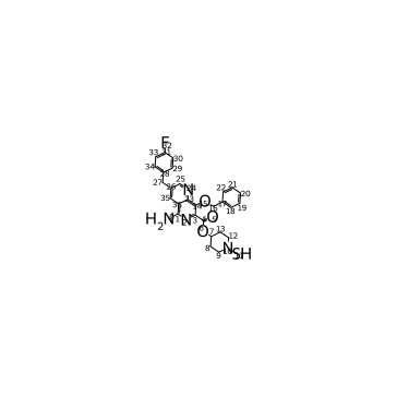 Nc1nc(C(=O)OC2CCN(S)CC2)c(OCc2ccccc2)c2ncc(Cc3ccc(F)cc3)cc12